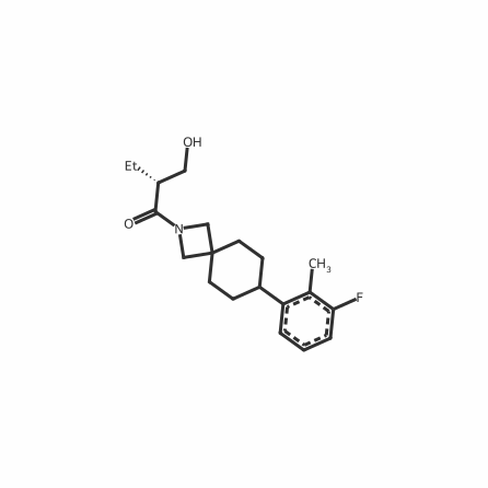 CC[C@H](CO)C(=O)N1CC2(CCC(c3cccc(F)c3C)CC2)C1